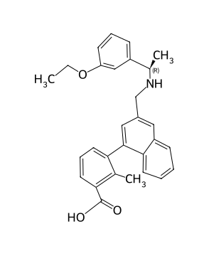 CCOc1cccc([C@@H](C)NCc2cc(-c3cccc(C(=O)O)c3C)c3ccccc3c2)c1